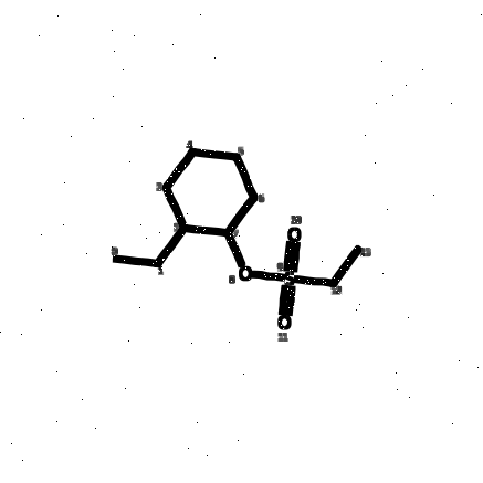 CCC1CCCCC1OS(=O)(=O)CC